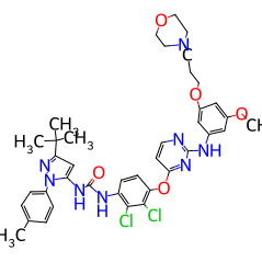 COc1cc(Nc2nccc(Oc3ccc(NC(=O)Nc4cc(C(C)(C)C)nn4-c4ccc(C)cc4)c(Cl)c3Cl)n2)cc(OCCCN2CCOCC2)c1